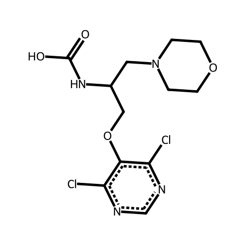 O=C(O)NC(COc1c(Cl)ncnc1Cl)CN1CCOCC1